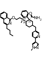 CCCCc1cc2ccccc2c(OCC[N+](C)(C)[C@@H]2CCC(Cc3ccc(-c4cnn(C)c4)nc3)C[C@]2(C(N)=O)c2ccccc2)n1